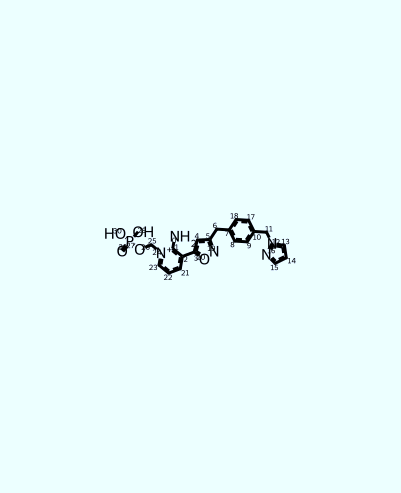 Nc1c(-c2cc(Cc3ccc(Cn4cccn4)cc3)no2)ccc[n+]1COP(=O)(O)O